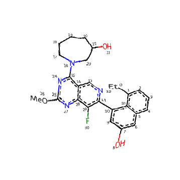 CCc1cccc2cc(O)cc(-c3ncc4c(N5CCCCC(O)C5)nc(OC)nc4c3F)c12